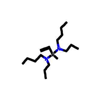 C=C[Si](C)(N(CCC)CCCC)N(CCC)CCCC